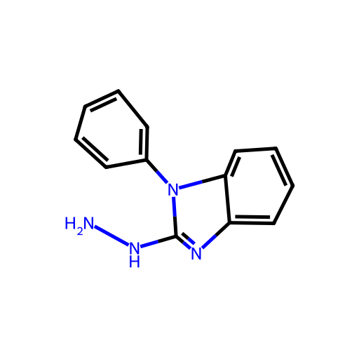 NNc1nc2ccccc2n1-c1ccccc1